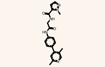 Cc1cc(-c2ccc(NC(=O)CNC(=O)c3ccnn3C)cc2)c(C)cn1